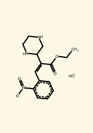 CCOC(=O)C(=Cc1ccccc1[N+](=O)[O-])C1CNCCN1.Cl